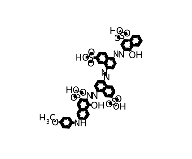 COc1ccc(Nc2ccc3c(O)c(N=Nc4ccc(N=Nc5ccc(N=Nc6cc(S(=O)(=O)O)c7ccccc7c6O)c6ccc(S(=O)(=O)O)cc56)c5ccc(S(=O)(=O)O)cc45)c(S(=O)(=O)O)cc3c2)cc1